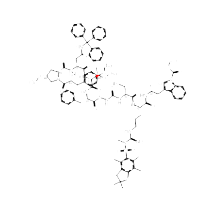 Cc1c(C)c(S(=O)(=O)N(C)C(=N)NCCC[C@H](NC(=O)[C@H](CC(C)C)NC(=O)NNC(=O)[C@H](Cc2ccccc2)NC(=O)[C@@H](NC(=O)[C@H](CC(=O)NC(c2ccccc2)(c2ccccc2)c2ccccc2)NC(=O)[C@@H]2C[C@@H](OC(C)(C)C)CN2C(=O)[C@H](N)Cc2ccc(OC(C)(C)C)cc2)[C@@H](C)OC(C)(C)C)C(=O)N[C@@H](Cc2cn(C(=O)OC(C)(C)C)c3ccccc23)C(=O)O)c(C)c2c1OC(C)(C)C2